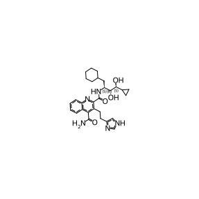 NC(=O)c1c(CCc2c[nH]cn2)c(C(=O)N[C@@H](CC2CCCCC2)[C@@H](O)[C@@H](O)C2CC2)nc2ccccc12